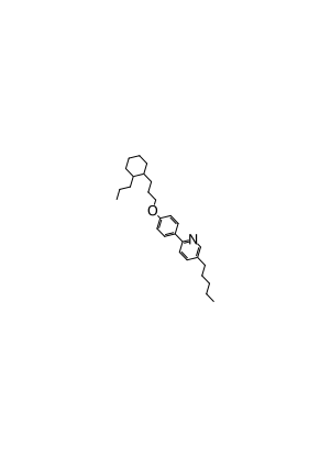 CCCCCc1ccc(-c2ccc(OCCCC3CCCCC3CCC)cc2)nc1